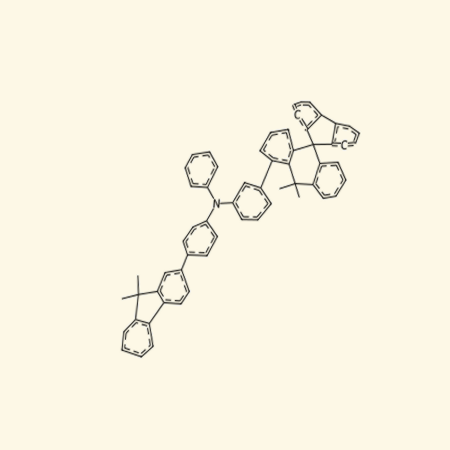 CC1(C)c2ccccc2-c2ccc(-c3ccc(N(c4ccccc4)c4cccc(-c5cccc6c5C(C)(C)c5ccccc5C65c6ccccc6-c6ccccc65)c4)cc3)cc21